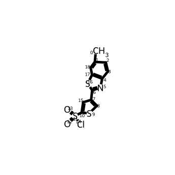 Cc1ccc2nc(-c3csc(S(=O)(=O)Cl)c3)sc2c1